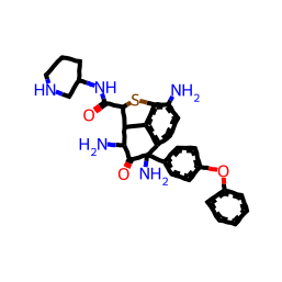 Nc1ccc2c3c1SC(C(=O)NC1CCCNC1)C3C(N)C(=O)C2(N)c1ccc(Oc2ccccc2)cc1